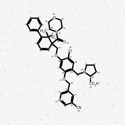 CC1(C)C(c2ccccc2)=CC=CC1(COc1cc(OCc2cncc(C#N)c2)c(CN2CCC[C@H]2C(=O)O)cc1Cl)C(=O)N1CCOCC1